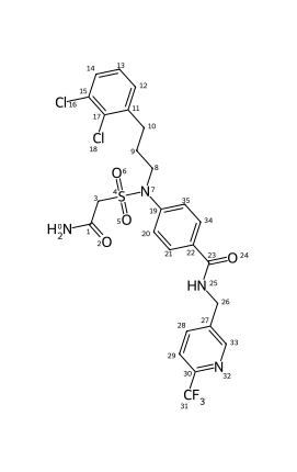 NC(=O)CS(=O)(=O)N(CCCc1cccc(Cl)c1Cl)c1ccc(C(=O)NCc2ccc(C(F)(F)F)nc2)cc1